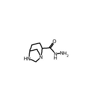 NNC(=O)C1CCC2CN1CN2